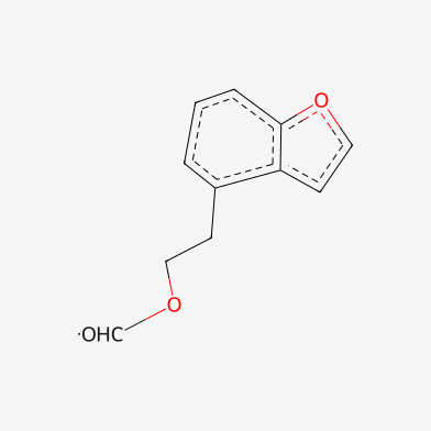 O=[C]OCCc1cccc2occc12